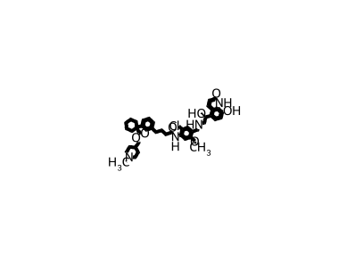 COc1cc(NC(=O)CCCc2cccc(C3(C(=O)OCC4CCN(C)CC4)CCCCC3)c2)c(Cl)cc1CNC[C@@H](O)c1ccc(O)c2[nH]c(=O)ccc12